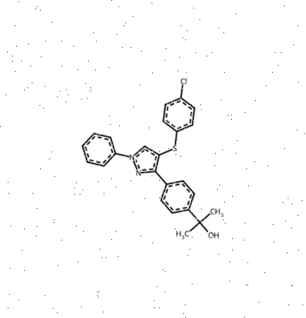 CC(C)(O)c1ccc(-c2nn(-c3ccccc3)cc2Sc2ccc(Cl)cc2)cc1